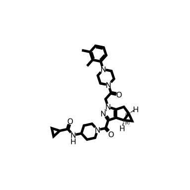 Cc1cccc(N2CCN(C(=O)Cn3nc(C(=O)N4CCC(NC(=O)C5CC5)CC4)c4c3C[C@H]3C[C@@H]43)CC2)c1C